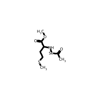 COC(=O)C(CCSC)N[Se]C(C)=O